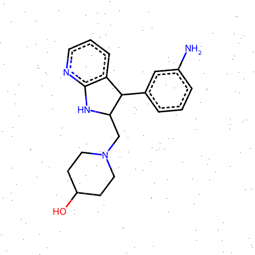 Nc1cccc(C2c3cccnc3NC2CN2CCC(O)CC2)c1